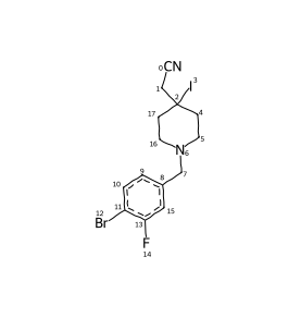 N#CCC1(I)CCN(Cc2ccc(Br)c(F)c2)CC1